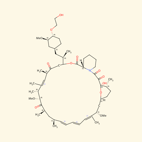 CO[C@H]1C[C@@H]2CC[C@@H](C)[C@@](O)(O2)C(=O)C(=O)N2CCCC[C@H]2C(=O)OC([C@H](C)C[C@@H]2CC[C@@H](OCCO)[C@H](OC)C2)CC(=O)[C@H](C)/C=C(\C)[C@@H](C)[C@@H](OC)C(=O)[C@H](C)C[C@H](C)/C=C/C=C/C=C/1C